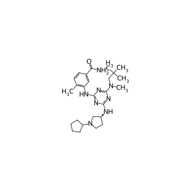 Cc1ccc(C(N)=O)cc1Nc1nc(N[C@H]2CCN(C3CCCC3)C2)nc(N(C)CC(C)(C)C)n1